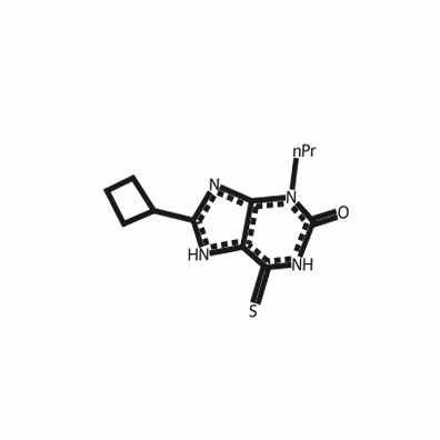 CCCn1c(=O)[nH]c(=S)c2[nH]c(C3CCC3)nc21